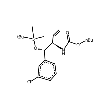 C=C[C@@H](NC(=O)OCCCC)[C@@H](O[Si](C)(C)C(C)(C)C)c1cccc(Cl)c1